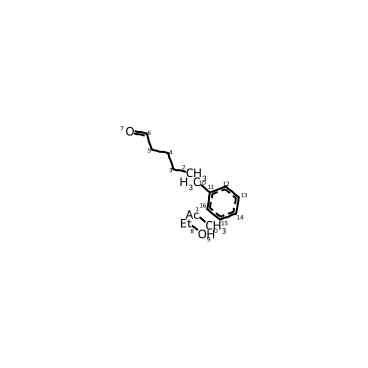 CC(C)=O.CCCCC=O.CCO.Cc1ccccc1